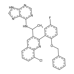 CC(Nc1ncnc2[nH]cnc12)c1cc2cccc(Cl)c2nc1-c1cc(F)ccc1OCc1ccccc1